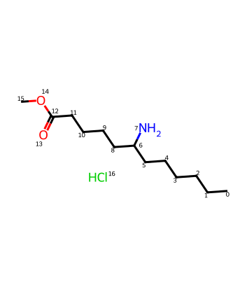 CCCCCCC(N)CCCCC(=O)OC.Cl